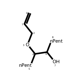 C=CCOC(CCCCC)C(O)CCCCC